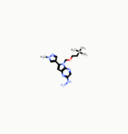 Cn1cc(-c2cc3nc(NN)cnc3n2COCC[Si](C)(C)C)cn1